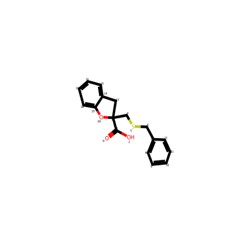 O=C(O)C1(CSCc2ccccc2)Cc2ccccc2O1